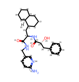 Nc1ccc(CNC(=O)C(CC2CCCC3CCCC[C@@H]32)NC(=O)[C@H](O)Cc2ccccc2)cn1